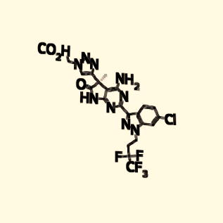 C[C@@]1(c2cn(CC(=O)O)nn2)C(=O)Nc2nc(-c3nn(CCC(F)(F)C(F)(F)F)c4cc(Cl)ccc34)nc(N)c21